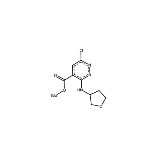 CC(C)(C)OC(=O)c1cc(Cl)nnc1NC1CCOC1